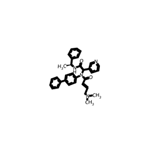 C[C@H](NC(=O)C(c1cccnc1)N(C(=O)/C=C/CN(C)C)c1ccc(-c2ccccc2)cc1)c1ccccc1